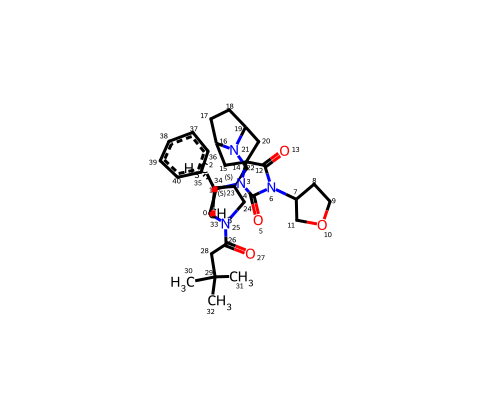 CC(C)N1C(=O)N(C2CCOC2)C(=O)C12CC1CCC(C2)N1C[C@H]1CN(C(=O)CC(C)(C)C)C[C@@H]1c1ccccc1